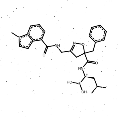 CC(C)C[C@H](NC(=O)C1(Cc2ccccc2)CC(CNC(=O)c2cccc3c2ccn3C)=NO1)B(O)O